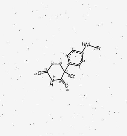 CCC1(c2ccc(NC(C)C)cc2)CCC(=O)NC1=O